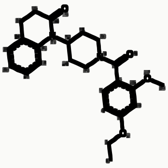 CCOc1ccc(C(=O)N2CCC(N3C(=O)CCc4ccccc43)CC2)c(OC)c1